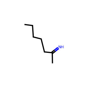 CCCCCC(C)=N